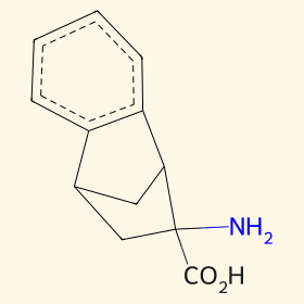 NC1(C(=O)O)CC2CC1c1ccccc12